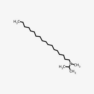 CCCCCCCCCCCCCCCCCCN(C)C(C)C